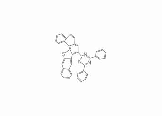 c1ccc(-c2nc(-c3ccccc3)nc(-c3cc4ccc5ccccc5c4c4sc5cc6ccccc6cc5c34)n2)cc1